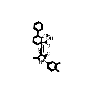 CC1=NN(c2ccc(C)c(C)c2)C(=O)C1=NNC1(C(=O)O)C=CC=C(c2ccccc2)C1O